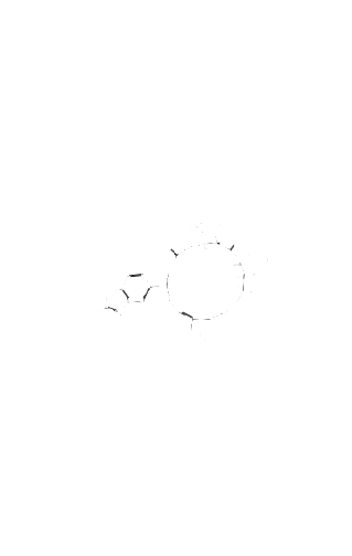 CC1=CC[C@@H](c2ccc3sc(C)nc3c2)OC(=O)C[C@H](O)C(C)(C)C(=O)[C@H](C)[C@@H](O)[C@@H](C)CCC1